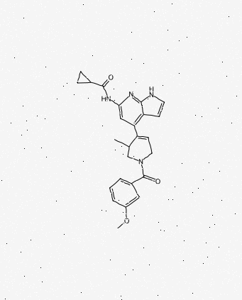 COc1cccc(C(=O)N2CC=C(c3cc(NC(=O)C4CC4)nc4[nH]ccc34)C(C)C2)c1